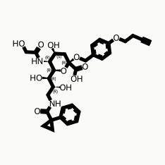 C#CCCOc1ccc(CO[C@]2(C(=O)O)C[C@H](O)[C@@H](NC(=O)CO)[C@H]([C@H](O)[C@H](O)CNC(=O)C3(c4ccccc4)CC3)O2)cc1